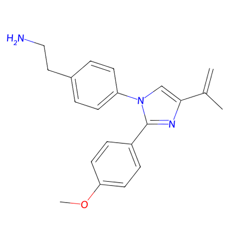 C=C(C)c1cn(-c2ccc(CCN)cc2)c(-c2ccc(OC)cc2)n1